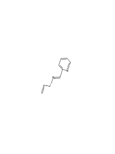 C=CCN=Cc1ccccn1